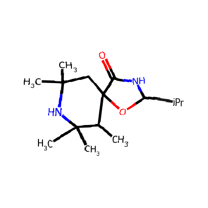 CC(C)C1NC(=O)C2(CC(C)(C)NC(C)(C)C2C)O1